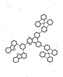 c1ccc2c(c1)-c1ccccc1C21c2ccccc2-c2ccc(-c3ccc4c(c3)c3cc(-c5ccc6c(c5)C5(c7ccccc7-c7ccccc75)c5ccccc5-6)ccc3c3nc(-c5cc(-c6cccc7c6oc6ccccc67)cc(-c6cccc7c6oc6ccccc67)c5)cnc43)cc21